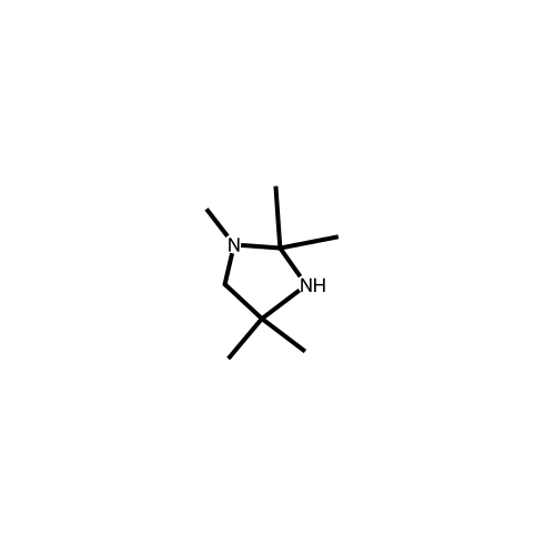 CN1CC(C)(C)NC1(C)C